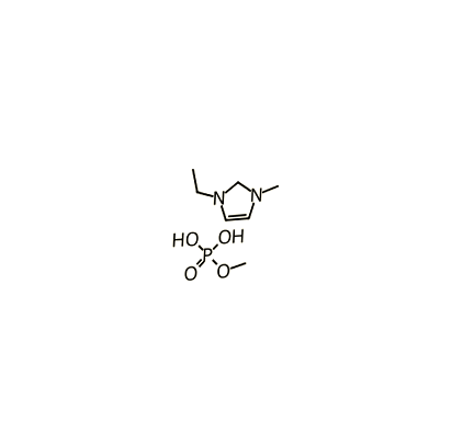 CCN1C=CN(C)C1.COP(=O)(O)O